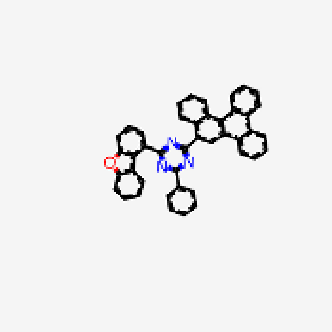 c1ccc(-c2nc(-c3cc4c5ccccc5c5ccccc5c4c4ccccc34)nc(-c3cccc4oc5ccccc5c34)n2)cc1